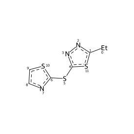 CCc1nnc(Sc2nccs2)s1